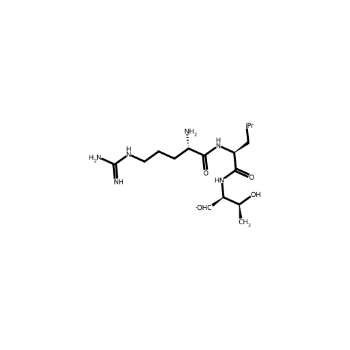 CC(C)C[C@H](NC(=O)[C@@H](N)CCCNC(=N)N)C(=O)N[C@H]([C]=O)[C@H](C)O